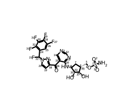 NS(=O)(=O)OC[C@H]1C[C@@H](Nc2ncncc2C(=O)c2ccn(C(F)c3cc(F)c(F)c(F)c3F)n2)[C@H](O)[C@@H]1O